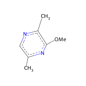 COc1nc(C)cnc1C